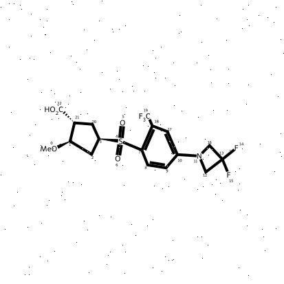 CO[C@@H]1C[C@H](S(=O)(=O)c2ccc(N3CC(F)(F)C3)cc2C(F)(F)F)C[C@H]1C(=O)O